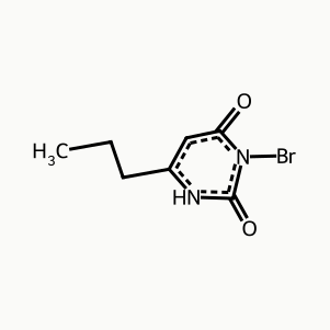 CCCc1cc(=O)n(Br)c(=O)[nH]1